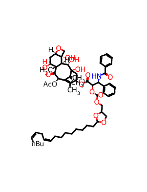 CCCC/C=C\C/C=C\CCCCCCCCC1OCC(COC(=O)O[C@@H](C(=O)O[C@H]2C[C@@]3(O)[C@@H](O)[C@@H]4[C@]5(O)CO[C@@H]5C[C@H](O)[C@@]4(C)C(=O)[C@H](OC(C)=O)C(=C2C)C3(C)C)[C@@H](NC(=O)c2ccccc2)c2ccccc2)O1